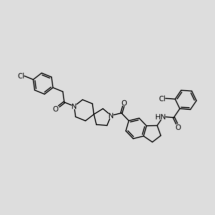 O=C(NC1CCc2ccc(C(=O)N3CCC4(CCN(C(=O)Cc5ccc(Cl)cc5)CC4)C3)cc21)c1ccccc1Cl